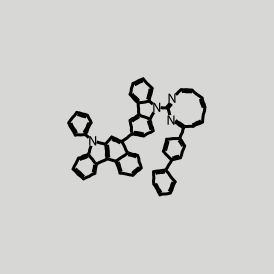 c1cccc(-c2ccc(-c3ccccc3)cc2)nc(-n2c3ccccc3c3cc(-c4cc5c(c6ccccc46)c4ccccc4n5-c4ccccc4)ccc32)ncc1